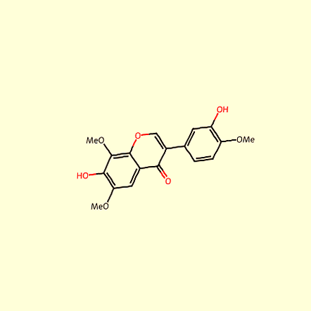 COc1ccc(-c2coc3c(OC)c(O)c(OC)cc3c2=O)cc1O